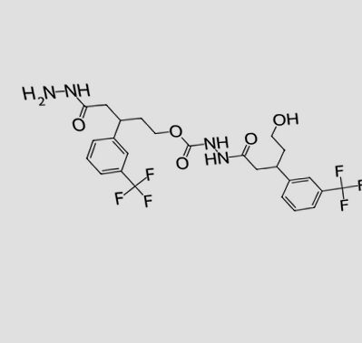 NNC(=O)CC(CCOC(=O)NNC(=O)CC(CCO)c1cccc(C(F)(F)F)c1)c1cccc(C(F)(F)F)c1